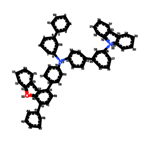 c1ccc(-c2cccc(N(c3ccc(-c4cccc(-n5c6ccccc6c6ccccc65)c4)cc3)c3ccc(-c4ccc(-c5ccccc5)c5oc6ccccc6c45)cc3)c2)cc1